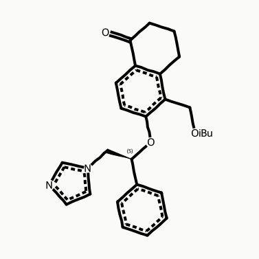 CC(C)COCc1c(O[C@H](Cn2ccnc2)c2ccccc2)ccc2c1CCCC2=O